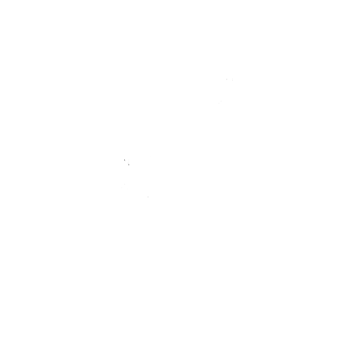 O=C(O)CCCC1=NOC(c2ccccc2)(c2ccccc2)C1